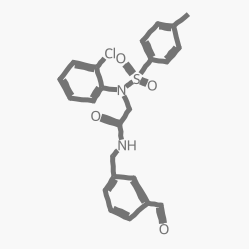 Cc1ccc(S(=O)(=O)N(CC(=O)NCc2cccc(C=O)c2)c2ccccc2Cl)cc1